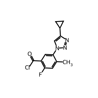 Cc1cc(F)c(C(=O)Cl)cc1-n1cc(C2CC2)nn1